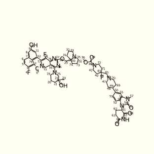 CCc1c(F)ccc2cc(O)cc(-c3ncc4c(N5CCC[C@@](C)(O)C5)nc(OC[C@@]56CCCN5[C@H](COC(=O)N5CCC(F)(CN7CCC(c8ccc9c(c8)n(C)c(=O)n9C8CCC(=O)NC8=O)CC7)CC5)CC6)nc4c3F)c12